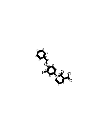 O=C(Cl)c1cccn(-c2ccc(OCc3ccccc3)c(F)c2)c1=O